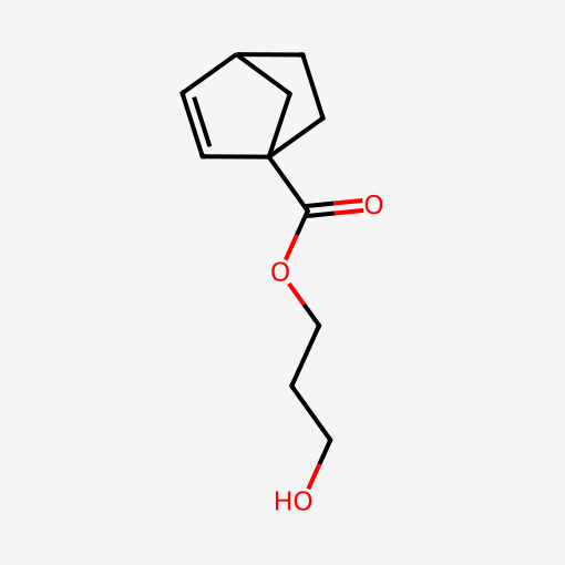 O=C(OCCCO)C12C=CC(CC1)C2